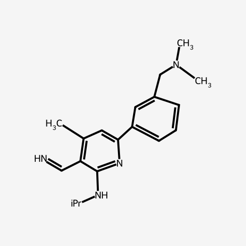 Cc1cc(-c2cccc(CN(C)C)c2)nc(NC(C)C)c1C=N